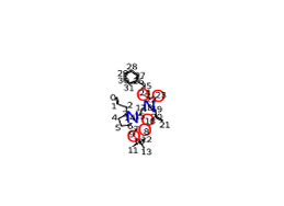 C=CC[C@@H]1CC[C@@H](C(=O)OC(C)(C)C)N1C(=O)CN(CC=C)C(=O)OCc1ccccc1